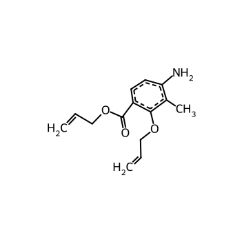 C=CCOC(=O)c1ccc(N)c(C)c1OCC=C